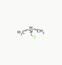 C=C[SiH](C=C)CF